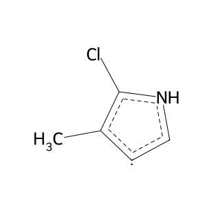 Cc1[c]c[nH]c1Cl